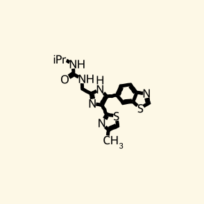 Cc1csc(-c2nc(CNC(=O)NC(C)C)[nH]c2-c2ccc3ncsc3c2)n1